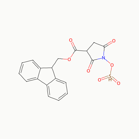 O=C(OCC1c2ccccc2-c2ccccc21)C1CC(=O)N(O[SH](=O)=O)C1=O